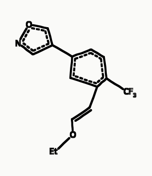 CCO/C=C/c1cc(-c2cnoc2)ccc1C(F)(F)F